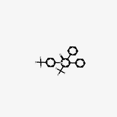 O=c1c(-c2ccccc2)c(-c2ccccc2)cc(C(F)(F)F)n1-c1ccc(C(F)(F)F)cc1